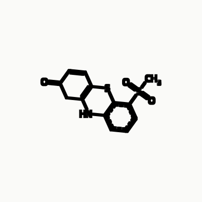 CS(=O)(=O)c1cccc2c1SC1=C(CC(=O)C=C1)N2